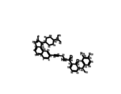 Cc1nc2cnc3ccc(C#CCNC(=O)c4cccn([C@H](C)c5ccc(F)c(F)c5)c4=O)cc3c2n1C1CCC(N(C)C)CC1